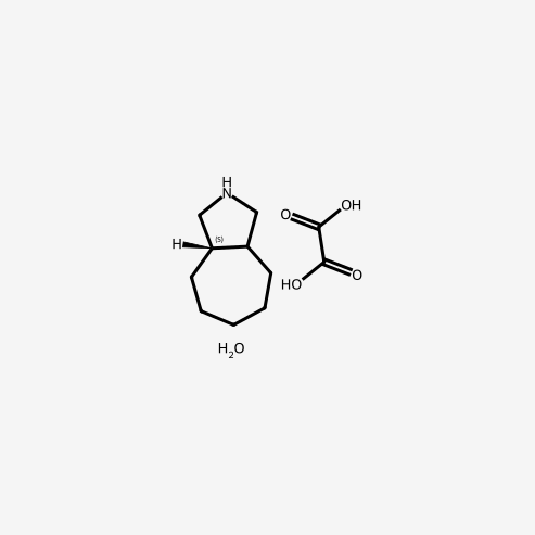 C1CCC2CNC[C@H]2CC1.O.O=C(O)C(=O)O